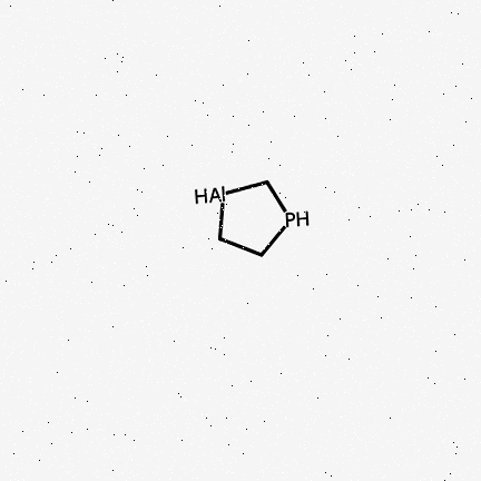 [CH2]1CP[CH2][AlH]1